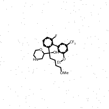 CCOc1cc(-c2c(F)cccc2[C@](O)(CCCCOC)C2CNCCO2)cc(C(F)(F)F)c1